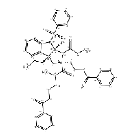 CCC[C@]12C[C@](SCCC(=O)c3ccccc3)(C(=O)N(C)SCCC(=O)c3ccccc3)N(C(=O)CC)[C@H]1N(S(=O)(=O)c1ccccc1)c1ccccc12